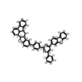 C1=CC2C3Oc4ccc(-c5ccc(-c6nc(-c7ccccc7)cc(-c7ccc8c(c7)oc7ccccc78)n6)cc5)cc4C3CC3c4ccccc4C(=C1)C32